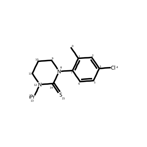 Cc1cc(Cl)ccc1N1CCCN(C(C)C)C1=S